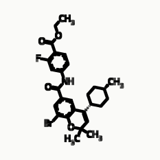 CCOC(=O)c1ccc(NC(=O)c2cc(Br)c3c(c2)C([C@H]2CC[C@H](C)CC2)=CC(C)(C)O3)cc1F